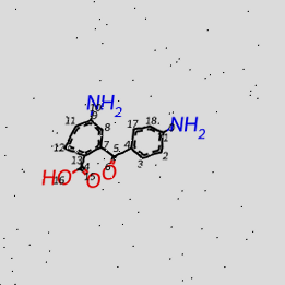 Nc1ccc(C(=O)c2cc(N)ccc2C(=O)O)cc1